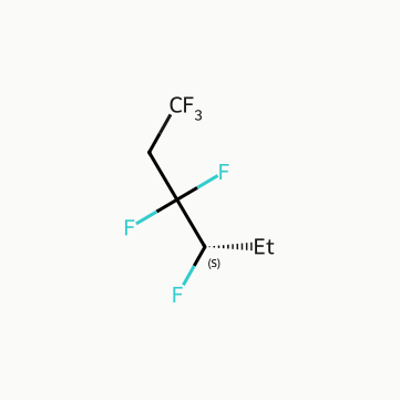 [CH2]C[C@H](F)C(F)(F)CC(F)(F)F